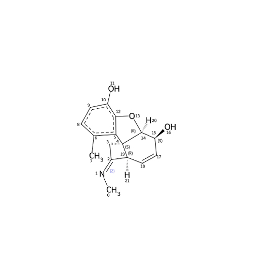 C/N=C1/C[C@]23c4c(C)ccc(O)c4O[C@H]2[C@@H](O)C=C[C@@H]13